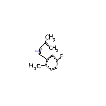 C=C(C)/C=C\c1cc(F)ccc1C